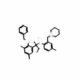 CCC(C)(Pc1ccc(C)cc1CN1CCCCC1)c1cc(C)cc(C)c1OCc1ccccc1